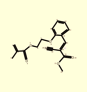 C=C(C)C(=O)OCCOc1ccccc1/C=C(\C#N)C(=O)OC